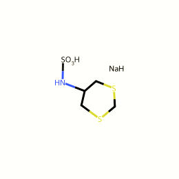 O=S(=O)(O)NC1CSCSC1.[NaH]